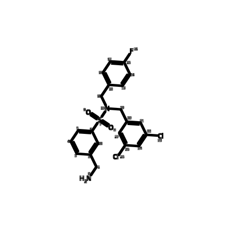 NCc1cccc(S(=O)(=O)N(Cc2ccc(F)cc2)Cc2cc(Cl)cc(Cl)c2)c1